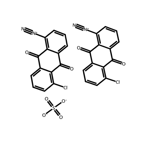 N#[N+]c1cccc2c1C(=O)c1cccc(Cl)c1C2=O.N#[N+]c1cccc2c1C(=O)c1cccc(Cl)c1C2=O.O=S(=O)([O-])[O-]